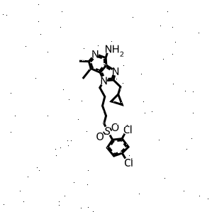 Cc1nc(N)c2nc(CC3CC3)n(CCCCCS(=O)(=O)c3ccc(Cl)cc3Cl)c2c1C